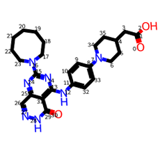 O=C(O)CC1CCN(c2ccc(Nc3nc(N4CCCCCCC4)nc4cn[nH]c(=O)c34)cc2)CC1